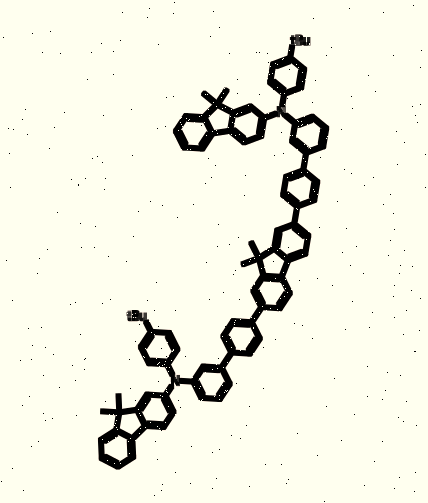 CC(C)(C)c1ccc(N(c2cccc(-c3ccc(-c4ccc5c(c4)C(C)(C)c4cc(-c6ccc(-c7cccc(N(c8ccc(C(C)(C)C)cc8)c8ccc9c(c8)C(C)(C)c8ccccc8-9)c7)cc6)ccc4-5)cc3)c2)c2ccc3c(c2)C(C)(C)c2ccccc2-3)cc1